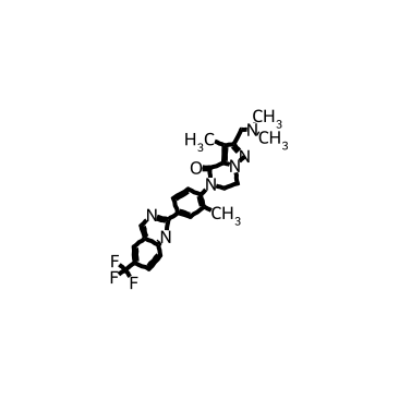 Cc1cc(-c2ncc3cc(C(F)(F)F)ccc3n2)ccc1N1CCn2nc(CN(C)C)c(C)c2C1=O